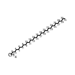 C.CCCCCCCCCCCCCCCCCCCCCCCCCCCCCCC